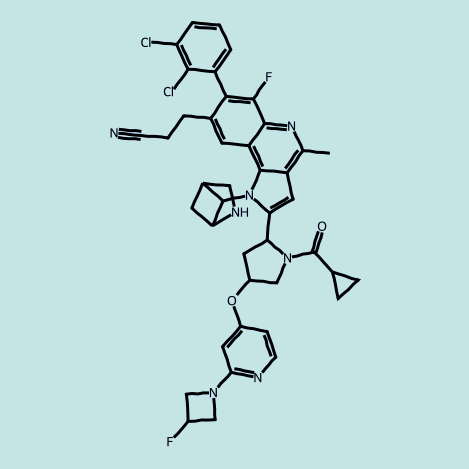 Cc1nc2c(F)c(-c3cccc(Cl)c3Cl)c(CCC#N)cc2c2c1cc(C1CC(Oc3ccnc(N4CC(F)C4)c3)CN1C(=O)C1CC1)n2C1C2CNC1C2